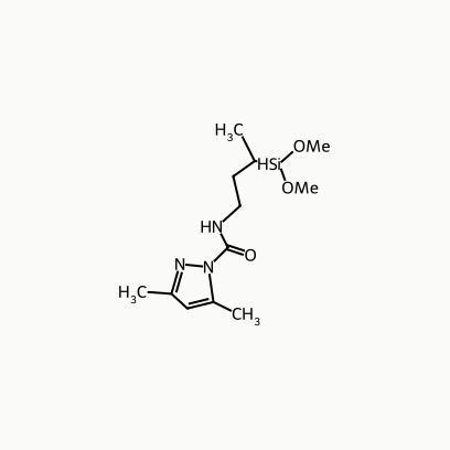 CO[SiH](OC)C(C)CCNC(=O)n1nc(C)cc1C